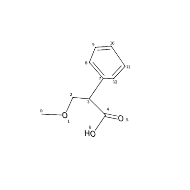 COCC(C(=O)O)c1ccccc1